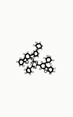 c1ccc(-c2ccc3c(c2)c2ccc4c5ccccc5oc4c2n3-c2nc(-c3ccccc3)nc(-c3cc(-c4ccccc4)c4c(c3)oc3ccccc34)n2)cc1